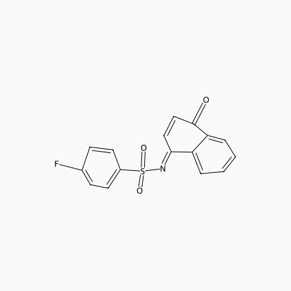 O=C1C=C/C(=N\S(=O)(=O)c2ccc(F)cc2)c2ccccc21